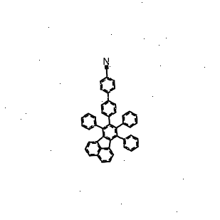 N#Cc1ccc(-c2ccc(-c3c(-c4ccccc4)c(-c4ccccc4)c4c(c3-c3ccccc3)-c3cccc5cccc-4c35)cc2)cc1